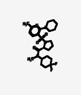 Cc1ccc(S(=O)(=O)N2CCC[C@H]2C(=O)N(C)C2CCC(F)(F)CC2)c(N2CCCCC2)n1